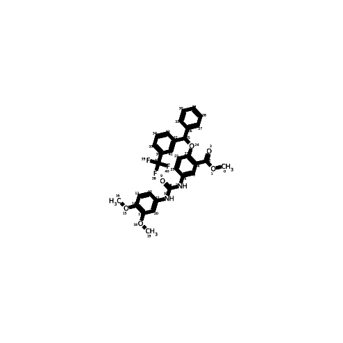 COC(=O)c1cc(NC(=O)Nc2ccc(OC)c(OC)c2)ccc1OC(c1ccccc1)c1cccc(C(F)(F)F)c1